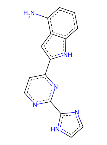 Nc1cccc2[nH]c(-c3ccnc(-c4ncc[nH]4)n3)cc12